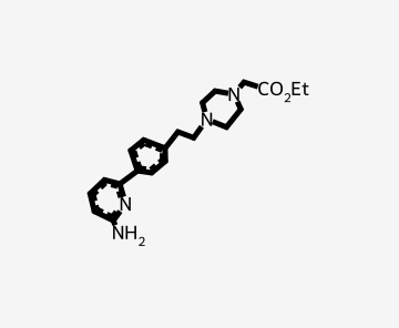 CCOC(=O)CN1CCN(CCc2ccc(-c3cccc(N)n3)cc2)CC1